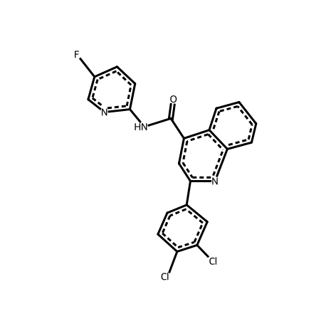 O=C(Nc1ccc(F)cn1)c1cc(-c2ccc(Cl)c(Cl)c2)nc2ccccc12